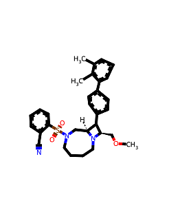 COC[C@@H]1C(c2ccc(-c3cccc(C)c3C)cc2)[C@@H]2CN(S(=O)(=O)c3ccccc3C#N)CCCCN12